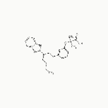 CCCCN(CCc1cccc(OC(C)(C)C(=O)O)c1)c1nc2ccccc2o1